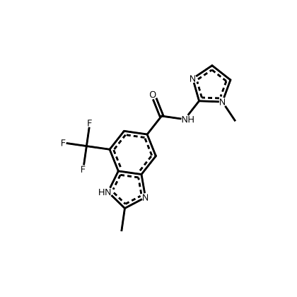 Cc1nc2cc(C(=O)Nc3nccn3C)cc(C(F)(F)F)c2[nH]1